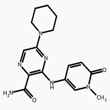 Cn1cc(Nc2nc(N3CCCCC3)cnc2C(N)=O)ccc1=O